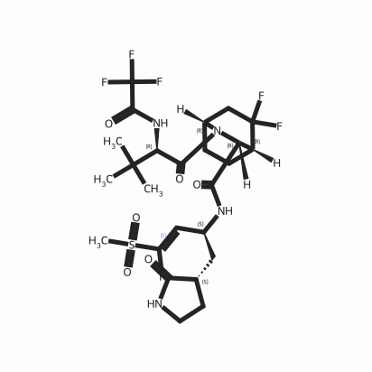 CC(C)(C)[C@@H](NC(=O)C(F)(F)F)C(=O)N1[C@@H]2CC[C@H]([C@@H]1C(=O)N[C@H](/C=C(\F)S(C)(=O)=O)C[C@@H]1CCNC1=O)C(F)(F)C2